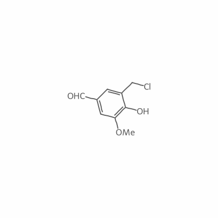 COc1cc(C=O)cc(CCl)c1O